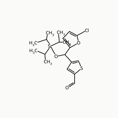 CC(C)[Si](OC(c1csc(C=O)c1)c1ccc(Cl)o1)(C(C)C)C(C)C